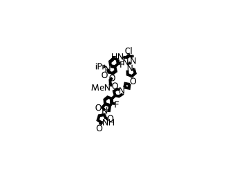 CNC(=O)COc1cc2c(F)c(Nc3nc(N4CCC(OC5CC(N6CCC(c7ccc8c(c7F)CN([C@@H]7CCC(=O)NC7=O)C8=O)CC6)C5)CC4)ncc3Cl)ccc2n(C(C)C)c1=O